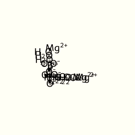 O.O.O.O.O.O.O.O.[Mg+2].[Mg+2].[Mg+2].[O-]B([O-])[O-].[O-]B([O-])[O-]